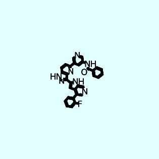 O=C(Nc1cncc(-c2ccc3[nH]nc(-c4cc5c(-c6ccccc6F)cncc5[nH]4)c3n2)c1)c1ccccc1